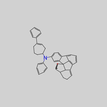 C1=C(c2ccccc2)CCCC(N(c2ccccc2)c2ccc3c(c2)C24c5ccccc5C5CCC=C(c6cccc-3c62)C54)C1